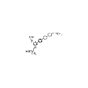 C=CCCC1CCC(C2CCC(c3ccc(-c4cc(OCCO)cc(OCCC(=C)CO)c4)cc3)CC2)CC1